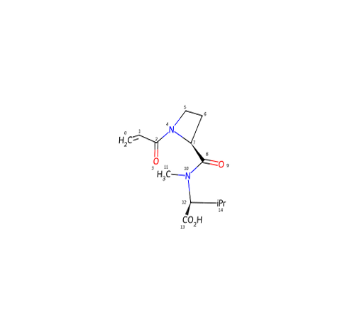 C=CC(=O)N1CC[C@H]1C(=O)N(C)[C@H](C(=O)O)C(C)C